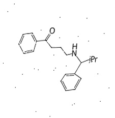 CC(C)C(NCCCC(=O)c1ccccc1)c1ccccc1